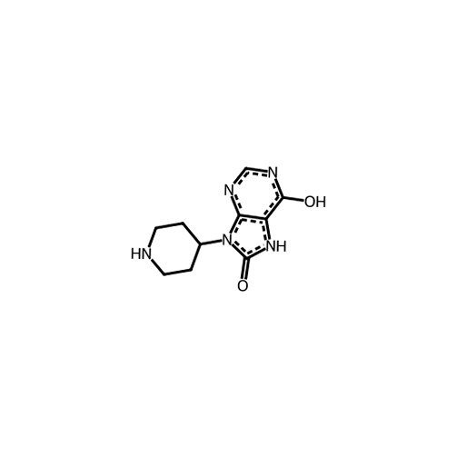 O=c1[nH]c2c(O)ncnc2n1C1CCNCC1